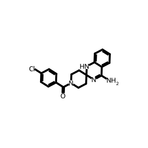 NC1=NC2(CCN(C(=O)c3ccc(Cl)cc3)CC2)Nc2ccccc21